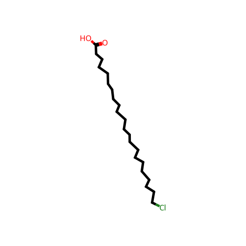 O=C(O)CCCCCCCCCCCCCCCCCCCCCCl